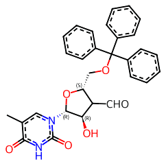 Cc1cn([C@@H]2O[C@H](COC(c3ccccc3)(c3ccccc3)c3ccccc3)C(C=O)[C@H]2O)c(=O)[nH]c1=O